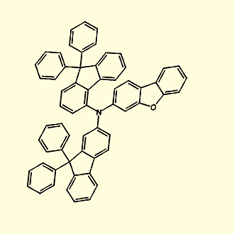 c1ccc(C2(c3ccccc3)c3ccccc3-c3ccc(N(c4ccc5c(c4)oc4ccccc45)c4cccc5c4-c4ccccc4C5(c4ccccc4)c4ccccc4)cc32)cc1